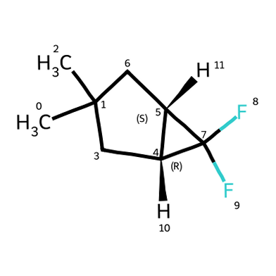 CC1(C)C[C@@H]2[C@H](C1)C2(F)F